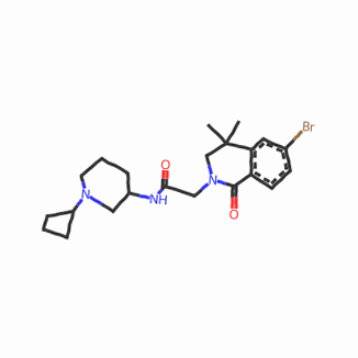 CC1(C)CN(CC(=O)NC2CCCN(C3CCC3)C2)C(=O)c2ccc(Br)cc21